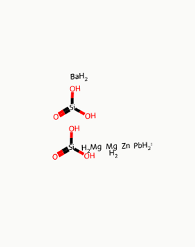 O=[Si](O)O.O=[Si](O)O.[BaH2].[MgH2].[MgH2].[PbH2].[Zn]